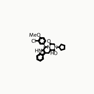 COc1ccc([C@@H]2c3[nH]c4ccccc4c3C[C@@H]3C(=O)N(C4CCCC4)CC(=O)N23)cc1Cl